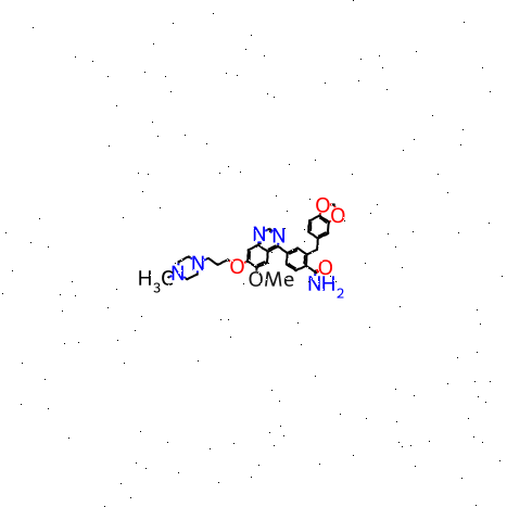 COc1cc2c(-c3ccc(C(N)=O)c(Cc4ccc5c(c4)OCO5)c3)ncnc2cc1OCCCN1CCN(C)CC1